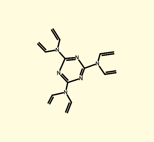 C=CN(C=C)c1nc(N(C=C)C=C)nc(N(C=C)C=C)n1